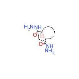 NNC(=O)C12BC(C(=O)NN)(CCCCCC1)CCC2